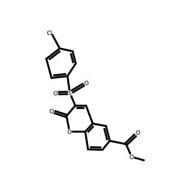 COC(=O)c1ccc2oc(=O)c(S(=O)(=O)c3ccc(Cl)cc3)cc2c1